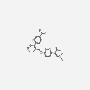 C=C(C)/C(=C\N(C)C)c1ccc(OC/C(C)=C(/N=N\C)c2ccc(C(F)F)cn2)nn1